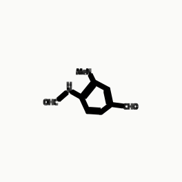 CNc1cc(C=O)ccc1NC=O